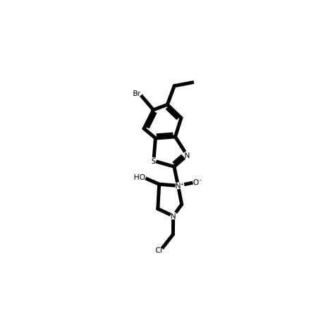 CCc1cc2nc([N+]3([O-])CN(CCl)CC3O)sc2cc1Br